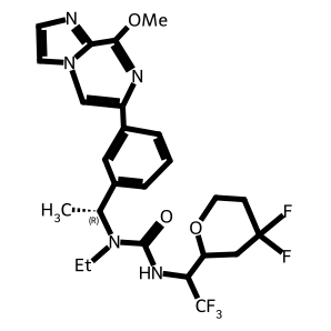 CCN(C(=O)NC(C1CC(F)(F)CCO1)C(F)(F)F)[C@H](C)c1cccc(-c2cn3ccnc3c(OC)n2)c1